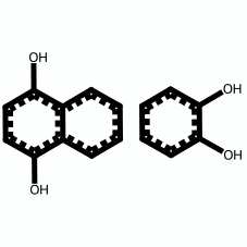 Oc1ccc(O)c2ccccc12.Oc1ccccc1O